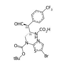 CC(C)(C)OC(=O)N(C[C@@H](NC(=O)O)[C@@H](C=O)c1ccc(C(F)(F)F)cc1)c1ncc(Br)s1